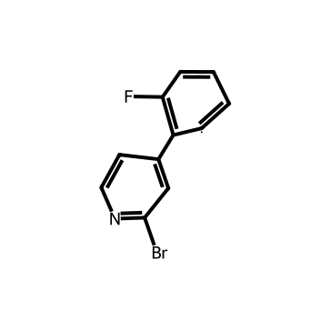 Fc1ccc[c]c1-c1ccnc(Br)c1